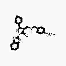 COc1ccc(CNC=C2C(=O)N(c3nc4ccccc4s3)N=C2c2ccccc2)cc1